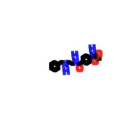 CS(=O)(=O)Nc1ccc(C(=O)NCCNCc2ccccc2)cc1